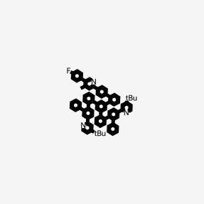 Cc1cc(-c2ccc(-c3ccccc3-c3cc(-c4ccccc4-c4ccc(-c5cc(C(C)(C)C)ccn5)cc4-c4ccccc4)cc(-c4ccccc4-c4ccc(-c5cc(C(C)(C)C)ccn5)cc4-c4ccccc4)c3)cc2)ncc1-c1ccc(F)cc1